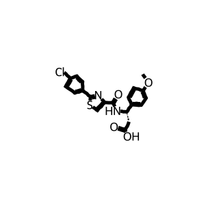 COc1ccc([C@H](CC(=O)O)NC(=O)c2csc(-c3ccc(Cl)cc3)n2)cc1